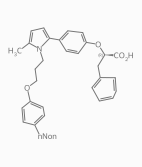 CCCCCCCCCc1ccc(OCCCn2c(C)ccc2-c2ccc(O[C@H](Cc3ccccc3)C(=O)O)cc2)cc1